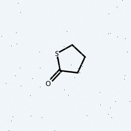 O=C1[CH]CCS1